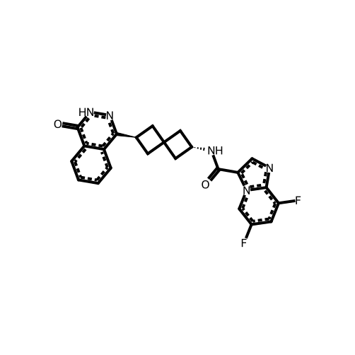 O=C(N[C@H]1CC2(C1)C[C@H](c1n[nH]c(=O)c3ccccc31)C2)c1cnc2c(F)cc(F)cn12